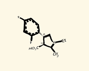 CCN1C[C@@H](c2ccc(F)cc2F)[C@H](C(=O)O)C1C